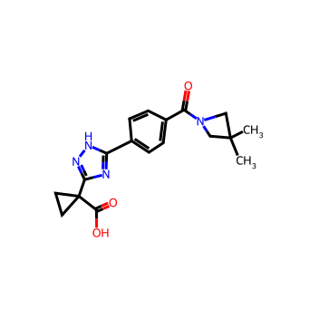 CC1(C)CN(C(=O)c2ccc(-c3nc(C4(C(=O)O)CC4)n[nH]3)cc2)C1